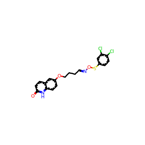 O=c1ccc2cc(OCCCC=NOSc3ccc(Cl)c(Cl)c3)ccc2[nH]1